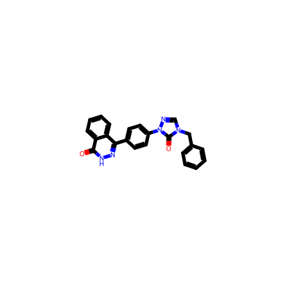 O=c1[nH]nc(-c2ccc(-n3ncn(Cc4ccccc4)c3=O)cc2)c2ccccc12